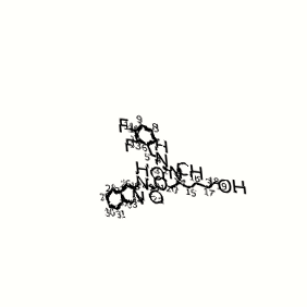 CN(C(=O)NCc1cccc(F)c1F)C(CCCCO)COC(=O)Nc1cc2ccccc2cn1